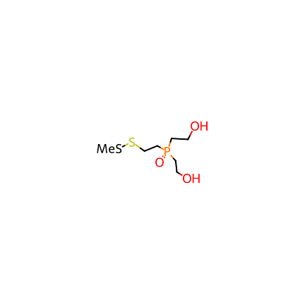 CSSCCP(=O)(CCO)CCO